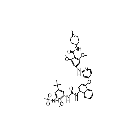 COc1cc(Nc2cc(Oc3ccc(NC(=O)Nc4cc(C(C)(C)C)cc(NS(C)(=O)=O)c4OC)c4ccccc34)ccn2)cc(OC)c1C(=O)NC1CCN(C)CC1